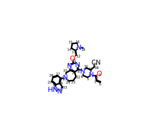 C=CC(=O)N1CCN(c2nc(OCC3CCCN3C)nc3c2CCCN(c2cccc4[nH]ncc24)C3)CC1CC#N